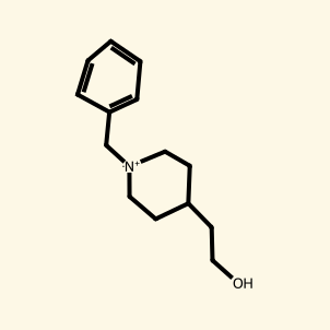 OCCC1CC[N+](Cc2ccccc2)CC1